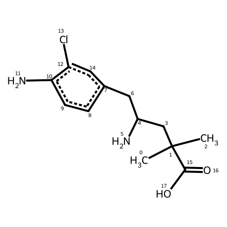 CC(C)(CC(N)Cc1ccc(N)c(Cl)c1)C(=O)O